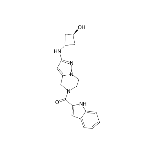 O=C(c1cc2ccccc2[nH]1)N1CCn2nc(N[C@H]3C[C@H](O)C3)cc2C1